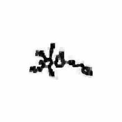 N#Cc1c(N)nc(S)c(C#N)c1-c1ccc(OCCO)nc1